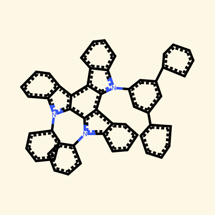 c1ccc(-c2cc(-c3ccccc3)cc(-n3c4ccccc4c4c5c6ccccc6n(-c6ccccc6)c5c5c(c6ccccc6n5-c5ccccc5)c43)c2)cc1